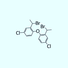 CC(Br)c1cc(Cl)ccc1Oc1ccc(Cl)cc1C(C)Br